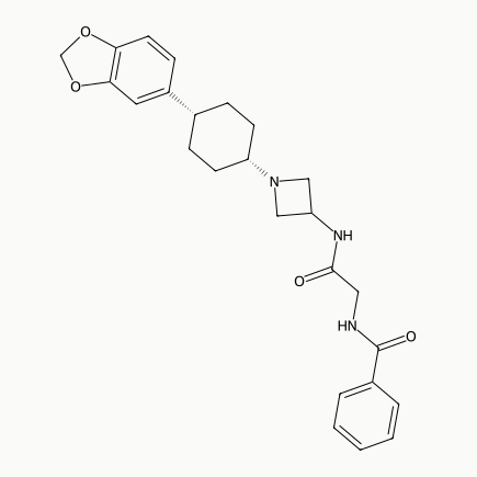 O=C(CNC(=O)c1ccccc1)NC1CN([C@H]2CC[C@@H](c3ccc4c(c3)OCO4)CC2)C1